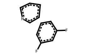 Fc1cccc(F)c1.c1ccncc1